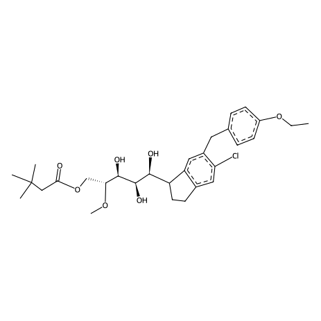 CCOc1ccc(Cc2cc3c(cc2Cl)CCC3[C@H](O)[C@@H](O)[C@H](O)[C@@H](COC(=O)CC(C)(C)C)OC)cc1